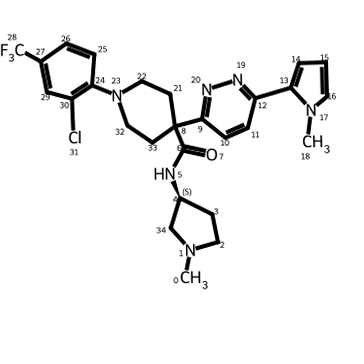 CN1CC[C@H](NC(=O)C2(c3ccc(-c4cccn4C)nn3)CCN(c3ccc(C(F)(F)F)cc3Cl)CC2)C1